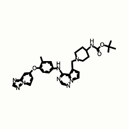 Cc1cc(Nc2ncnn3ccc(CN4CCC(NC(=O)OC(C)(C)C)CC4)c23)ccc1Oc1ccn2ncnc2c1